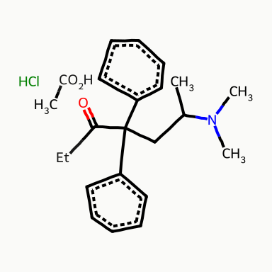 CC(=O)O.CCC(=O)C(CC(C)N(C)C)(c1ccccc1)c1ccccc1.Cl